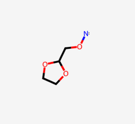 [N]OCC1OCCO1